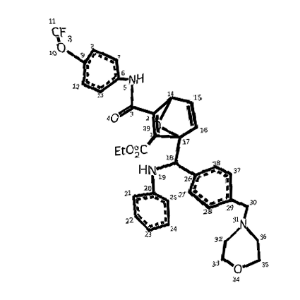 CCOC(=O)C1=C(C(=O)Nc2ccc(OC(F)(F)F)cc2)C2C=CC1(C(Nc1ccccc1)c1ccc(CN3CCOCC3)cc1)O2